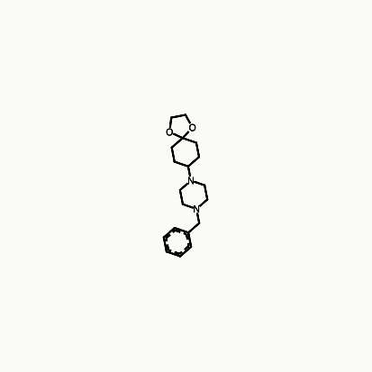 c1ccc(CN2CCN(C3CCC4(CC3)OCCO4)CC2)cc1